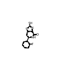 O=c1[nH]c(-c2ccccc2F)cc2sc(S)nc12